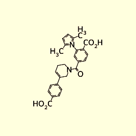 Cc1ccc(C)n1-c1cc(C(=O)N2CCC=C(c3ccc(C(=O)O)cc3)C2)ccc1C(=O)O